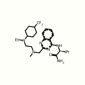 CCN(CCN(C)Cc1nc(N[C@H](C(N)=O)C(C)C)c2ccccc2n1)C1CCC(C(F)(F)F)CC1